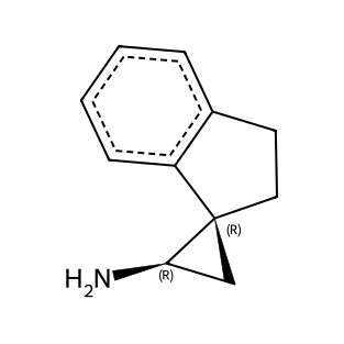 N[C@@H]1C[C@@]12CCc1ccccc12